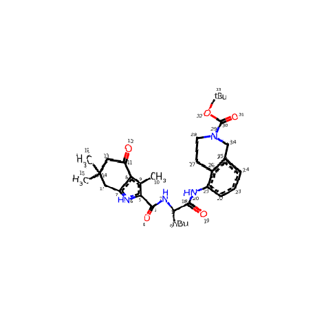 CCCCC(NC(=O)c1[nH]c2c(c1C)C(=O)CC(C)(C)C2)C(=O)Nc1cccc2c1CCN(C(=O)OC(C)(C)C)C2